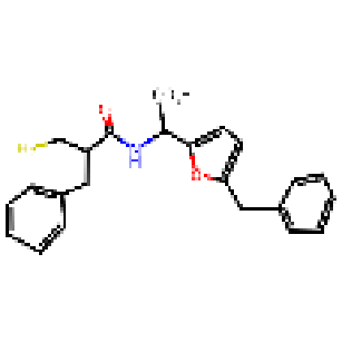 O=C(NC(C(=O)O)c1ccc(Cc2ccccc2)o1)C(CS)Cc1ccccc1